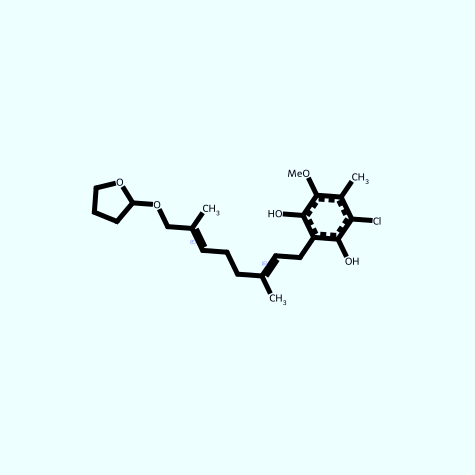 COc1c(C)c(Cl)c(O)c(C/C=C(\C)CC/C=C(\C)COC2CCCO2)c1O